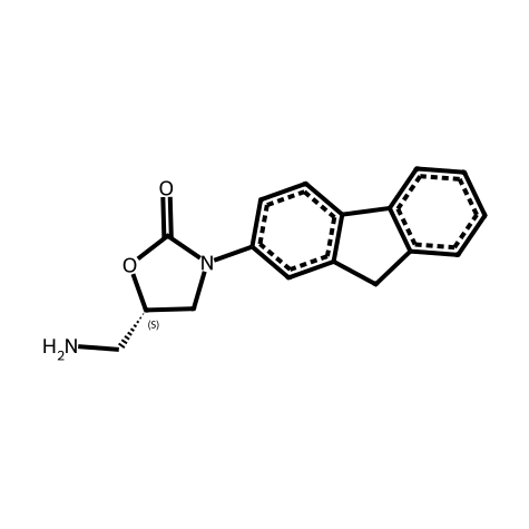 NC[C@H]1CN(c2ccc3c(c2)Cc2ccccc2-3)C(=O)O1